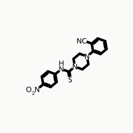 N#Cc1ccccc1N1CCN(C(=S)Nc2ccc([N+](=O)[O-])cc2)CC1